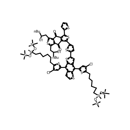 CCCCC(CC)Cc1sc(CC(CC)CCCC)c2c1C(=O)c1c(-c3cccs3)sc(-c3ccc(-c4cc5c(-c6cc(Cl)c(CCCCCC[Si](C)(O[Si](C)(C)C)O[Si](C)(C)C)s6)c6sccc6c(-c6cc(Cl)c(CCCCCC[Si](C)(O[Si](C)(C)C)O[Si](C)(C)C)s6)c5s4)s3)c1C2=O